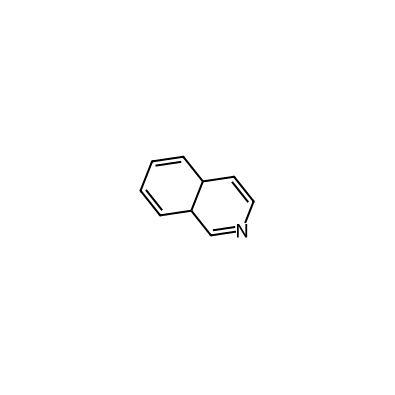 C1=CC2C=CN=CC2C=C1